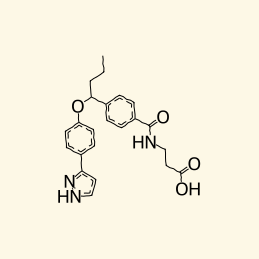 CCCC(Oc1ccc(-c2cc[nH]n2)cc1)c1ccc(C(=O)NCCC(=O)O)cc1